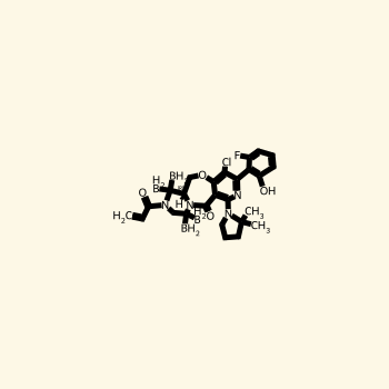 BC1(B)CN(C(=O)C=C)C(B)(B)[C@@H]2COc3c(Cl)c(-c4c(O)cccc4F)nc(N4CCCC4(C)C)c3C(=O)N21